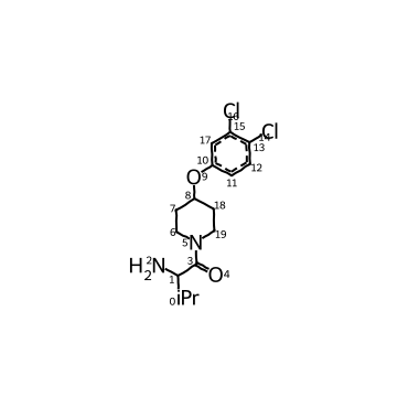 CC(C)C(N)C(=O)N1CCC(Oc2ccc(Cl)c(Cl)c2)CC1